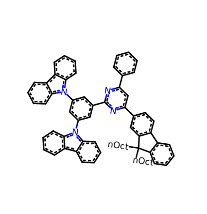 CCCCCCCCC1(CCCCCCCC)c2ccccc2-c2ccc(-c3cc(-c4ccccc4)nc(-c4cc(-n5c6ccccc6c6ccccc65)cc(-n5c6ccccc6c6ccccc65)c4)n3)cc21